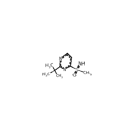 CC(C)(C)c1nccc(S(C)(=N)=O)n1